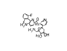 NC[C@H]1O[C@@H](c2ccncc2NC(=O)c2ccc(N)c(-c3c(F)cccc3F)n2)C[C@@H](O)[C@@H]1O